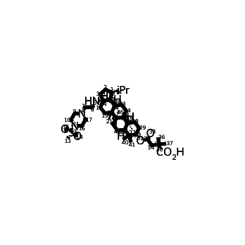 CC(C)[C@@H]1CC[C@]2(NCCN3CCN(S(C)(=O)=O)CC3)CC[C@]3(C)[C@H](CC[C@@H]4[C@@]5(C)CC[C@H](OC(=O)CC(C)(C)C(=O)O)C(C)(C)[C@@H]5CC[C@]43C)[C@@H]12